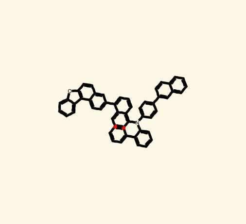 c1ccc(-c2ccccc2N(c2ccc(-c3ccc4ccccc4c3)cc2)c2cccc3c(-c4ccc5c(ccc6oc7ccccc7c65)c4)cccc23)cc1